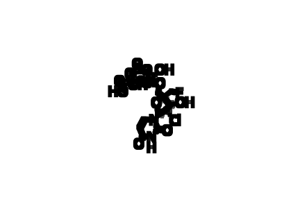 O=c1ccn([C@@H]2O[C@](CF)(COP(=O)(O)OP(=O)(O)OP(=O)(O)O)[C@@H](O)[C@@H]2Cl)c(=O)[nH]1